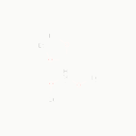 CCO[SiH](OCC)C(C)(OCC)OCC